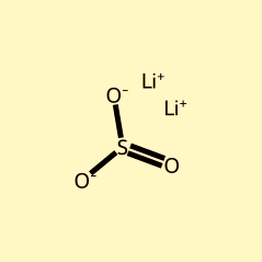 O=S([O-])[O-].[Li+].[Li+]